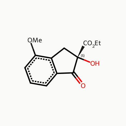 CCOC(=O)[C@]1(O)Cc2c(OC)cccc2C1=O